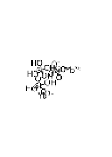 O[Si](O)(O)O.[O-][Si]([O-])(O)O.[O-][Si]([O-])([O-])[O-].[Yb+3].[Yb+3]